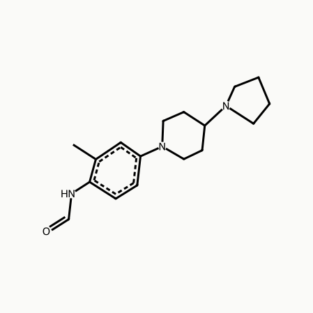 Cc1cc(N2CCC(N3CCCC3)CC2)ccc1NC=O